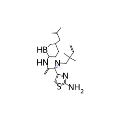 C=CC(C)(C)C/N=C(/C(=C)NC1BCC(CC(=C)C)CC1)c1csc(N)n1